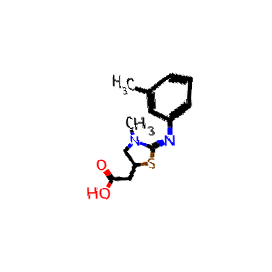 Cc1cccc(N=C2SC(CC(=O)O)CN2C)c1